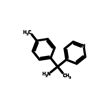 Cc1ccc(C(C)(N)c2ccncc2)cc1